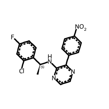 C[C@H](Nc1nccnc1-c1ccc([N+](=O)[O-])cc1)c1ccc(F)cc1Cl